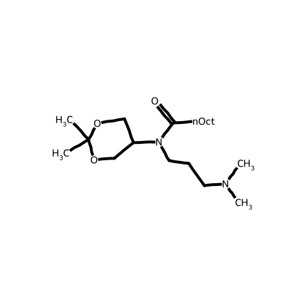 CCCCCCCCC(=O)N(CCCN(C)C)C1COC(C)(C)OC1